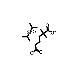 CC(C)(CCCC(=O)[O-])C(=O)[O-].C[CH](C)[Sn+2][CH](C)C